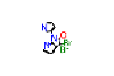 O=C1N(c2cccnc2)c2ncccc2C1(Br)Br